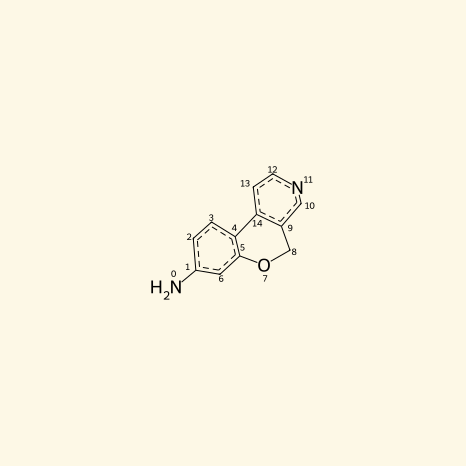 Nc1ccc2c(c1)OCc1cnccc1-2